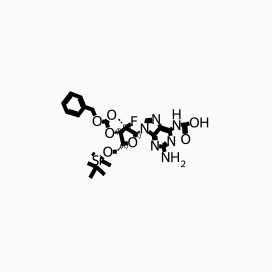 CC(C)(C)[Si](C)(C)OC[C@H]1O[C@@H](n2cnc3c(NC(=O)O)nc(N)nc32)[C@](C)(F)[C@@H]1OC(=O)OCc1ccccc1